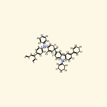 C=C/C=C(\C=C)c1ccc(N(C2=CCC(C)(c3ccc4c(c3)c3cc(C5=CCCC=C5)ccc3n4C3=CCCCC3)C=C2C)c2ccccc2)cc1